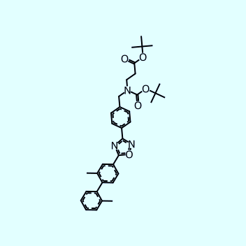 Cc1ccccc1-c1ccc(-c2nc(-c3ccc(CN(CCC(=O)OC(C)(C)C)C(=O)OC(C)(C)C)cc3)no2)cc1C